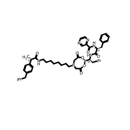 CC(C)Cc1ccc([C@H](C)C(=O)NCCCCCCCCN2CC(=O)OB([C@H](CC(C)C)NC(=O)[C@H](Cc3ccccc3)NC(=O)c3cnccn3)OC(=O)C2)cc1